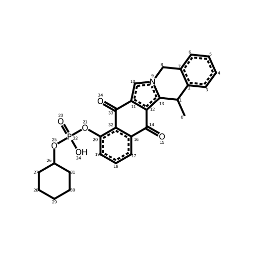 CC1c2ccccc2Cn2cc3c(c21)C(=O)c1cccc(OP(=O)(O)OC2CCCCC2)c1C3=O